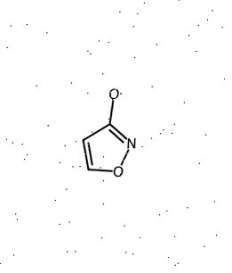 [O]c1ccon1